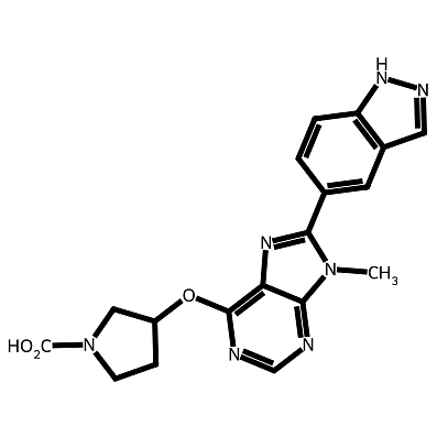 Cn1c(-c2ccc3[nH]ncc3c2)nc2c(OC3CCN(C(=O)O)C3)ncnc21